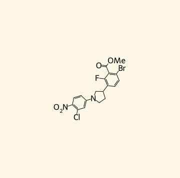 COC(=O)c1c(Br)ccc(C2CCN(c3ccc([N+](=O)[O-])c(Cl)c3)C2)c1F